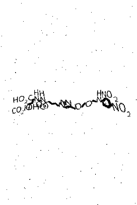 O=CO[C@H](CCCCn1cc(COCCOCCNc2ccc([N+](=O)[O-])cc2[N+](=O)[O-])nn1)NC(=O)N[C@@H](CCC(=O)O)C(=O)O